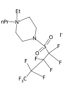 CCC[N+]1(CC)CCN(S(=O)(=O)C(F)(F)C(F)(F)C(F)(F)C(F)(F)F)CC1.[I-]